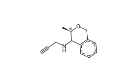 C#CCNC1c2ccccc2CO[C@@H]1C